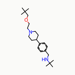 CC(C)(C)COCCN1CCC(c2ccc(CNC(C)(C)C)cc2)CC1